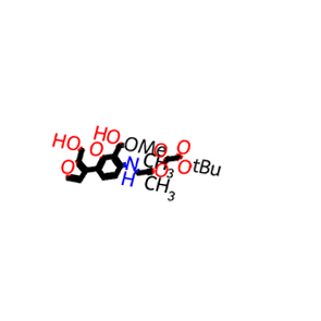 COC(=O)c1c(NCC(C)(C)OC(=O)C(=O)OC(C)(C)C)ccc(-c2ccoc2CO)c1O